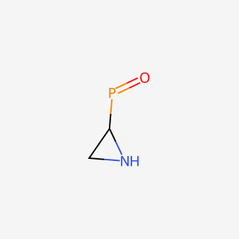 O=PC1CN1